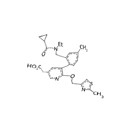 CCN(Cc1cc(C)ccc1-c1cc(CC(=O)O)cnc1OCc1csc(C)n1)C(=O)C1CC1